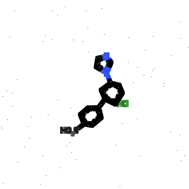 Cl.O=S(=O)(O)c1ccc(-c2cccc(-n3ccnc3)c2)cc1